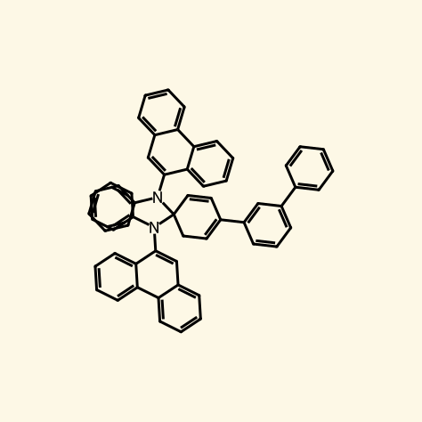 C1=CC(N(c2ccccc2)c2cc3ccccc3c3ccccc23)(N(c2ccccc2)c2cc3ccccc3c3ccccc23)CC=C1c1cccc(-c2ccccc2)c1